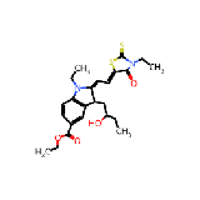 CCOC(=O)c1ccc2c(c1)C(CC(O)CC)/C(=C\C=C1/SC(=S)N(CC)C1=O)N2CC